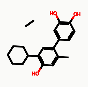 CC.Cc1cc(O)c(C2CCCCC2)cc1-c1ccc(O)c(O)c1